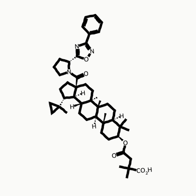 CC(C)(CC(=O)O[C@H]1CC[C@]2(C)[C@H]3CC[C@@H]4[C@H]5[C@H](C6(C)CC6)CC[C@]5(C(=O)N5CCC[C@@H]5c5nc(-c6ccccc6)no5)CC[C@@]4(C)[C@]3(C)CC[C@H]2C1(C)C)C(=O)O